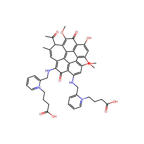 COc1c2c3c4c(c(NCc5cccc[n+]5CCCC(=O)O)c(=O)c5c(NCc6cccc[n+]6CCCC(=O)O)cc(OC)c(c6c(OC)cc(O)c(c1=O)c63)c54)C=C(C)C2C(C)=O